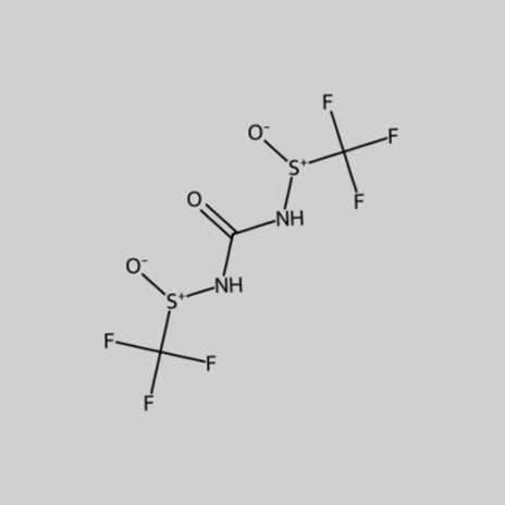 O=C(N[S+]([O-])C(F)(F)F)N[S+]([O-])C(F)(F)F